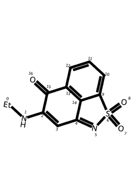 CCNC1=CC2=NS(=O)(=O)c3cccc(c32)C1=O